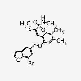 CNS(=O)(=O)C(=Cc1cc(C)c(C)cc1OCc1cc(Br)c2occc2c1)SC